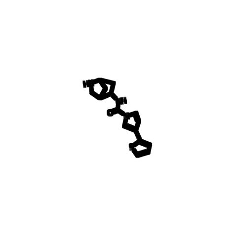 O=C(NC1CC2CC1CN2)n1ccc(-c2cccs2)c1